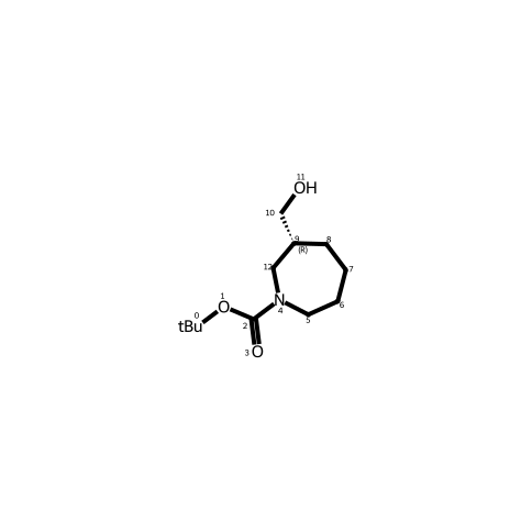 CC(C)(C)OC(=O)N1CCCC[C@@H](CO)C1